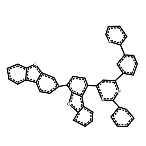 c1ccc(-c2nc(-c3cccc(-c4ccccn4)c3)cc(-c3ccc(-c4ccc5c(c4)sc4ccccc45)c4oc5ccccc5c34)n2)cc1